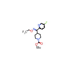 CC(C)(C)OC(=O)N1CCC(/C(=N\OCC(F)(F)F)c2ccc(F)cn2)CC1